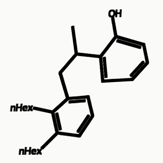 CCCCCCc1cccc(CC(C)c2ccccc2O)c1CCCCCC